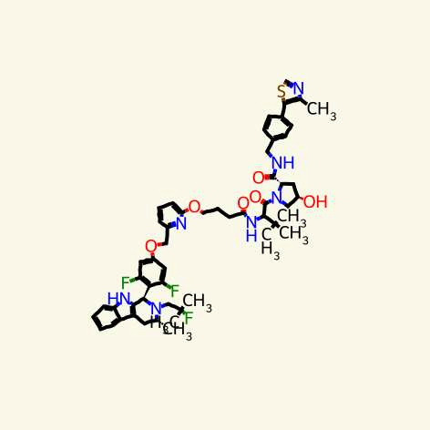 Cc1ncsc1-c1ccc(CNC(=O)[C@@H]2C[C@@H](O)CN2C(=O)C(NC(=O)CCCOc2cccc(COc3cc(F)c([C@@H]4c5[nH]c6ccccc6c5C[C@@H](C)N4CC(C)(C)F)c(F)c3)n2)C(C)(C)C)cc1